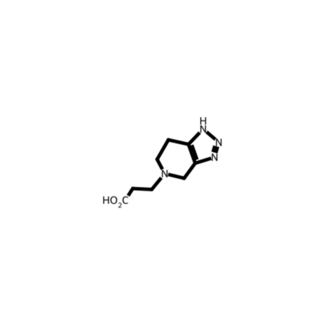 O=C(O)CCN1CCc2[nH]nnc2C1